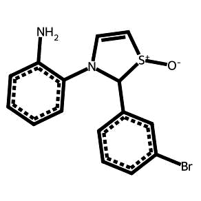 Nc1ccccc1N1C=C[S+]([O-])C1c1cccc(Br)c1